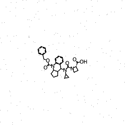 O=C(O)[C@H]1CCN1C(=O)N(C1CC1)C1c2ccccc2N(C(=O)OCc2ccccc2)C2CCCC21